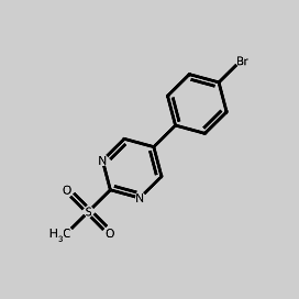 CS(=O)(=O)c1ncc(-c2ccc(Br)cc2)cn1